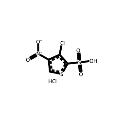 Cl.O=[N+]([O-])c1csc(S(=O)(=O)O)c1Cl